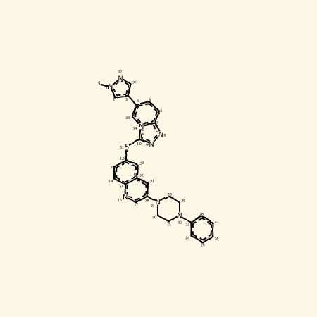 Cn1cc(-c2ccc3nnc(Sc4ccc5ncc(N6CCN(c7ccccc7)CC6)cc5c4)n3c2)cn1